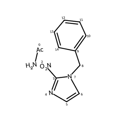 CC(N)=O.O=[N+]([O-])c1nccn1Cc1ccccc1